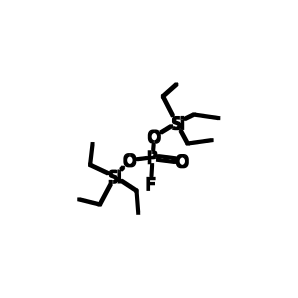 CC[Si](CC)(CC)OP(=O)(F)O[Si](CC)(CC)CC